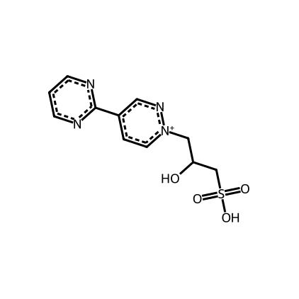 O=S(=O)(O)CC(O)C[n+]1ccc(-c2ncccn2)cn1